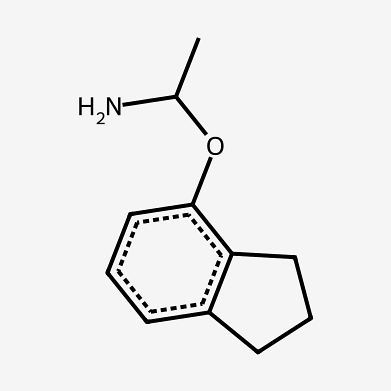 CC(N)Oc1cccc2c1CCC2